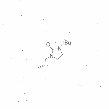 C=CCN1CCN(CCCC)C1=O